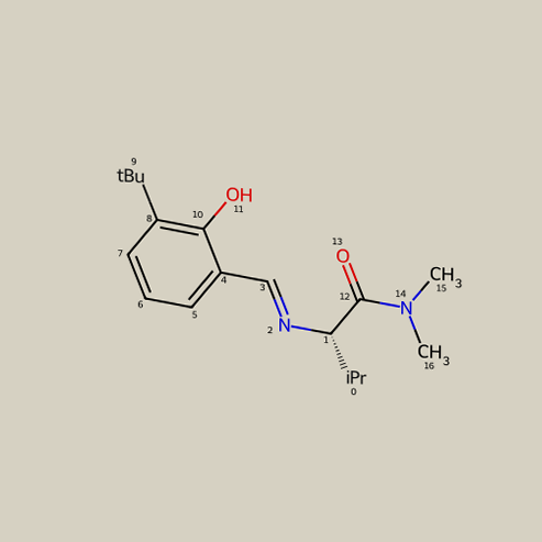 CC(C)[C@H](/N=C/c1cccc(C(C)(C)C)c1O)C(=O)N(C)C